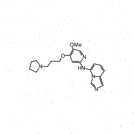 COc1cnc(Nc2cccc3cncn23)cc1OCCCN1CCCC1